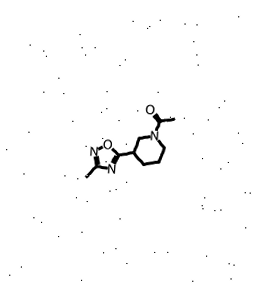 CC(=O)N1CCCC(c2nc(C)no2)C1